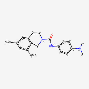 COc1cc2c(c(OC)c1)CN(C(=O)Nc1ccc(N(C)C)cc1)CC2